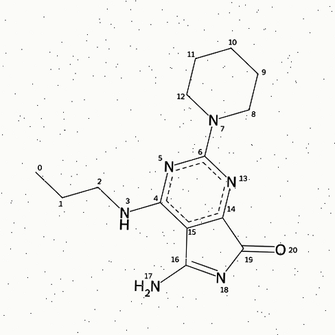 CCCNc1nc(N2CCCCC2)nc2c1C(N)=NC2=O